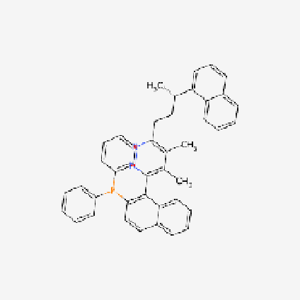 Cc1c(CC[C@H](C)c2cccc3ccccc23)nnc(-c2c(P(c3ccccc3)c3ccccc3)ccc3ccccc23)c1C